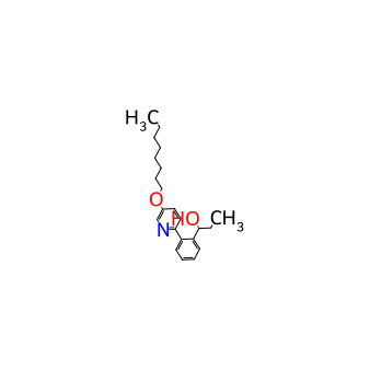 CCCCCCCCOc1ccc(-c2ccccc2C(O)CC)nc1